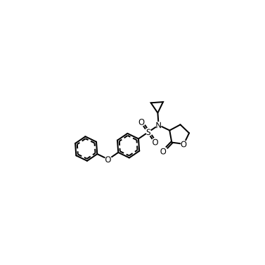 O=C1OCCC1N(C1CC1)S(=O)(=O)c1ccc(Oc2ccccc2)cc1